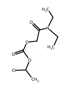 CCN(CC)C(=O)COC(=O)OC(C)Cl